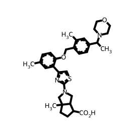 Cc1ccc(OCc2ccc(C(C)N3CCOCC3)cc2C)c(-c2csc(N3CC4C(C(=O)O)CCC4(C)C3)n2)c1